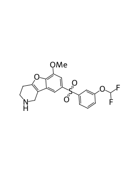 COc1cc(S(=O)(=O)c2cccc(OC(F)F)c2)cc2c3c(oc12)CCNC3